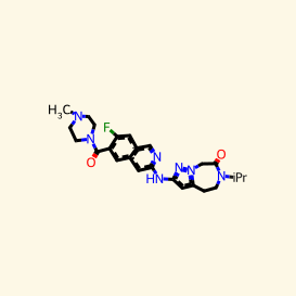 CC(C)N1CCc2cc(Nc3cc4cc(C(=O)N5CCN(C)CC5)c(F)cc4cn3)nn2CC1=O